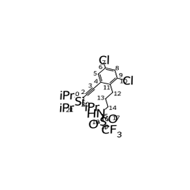 CC(C)[Si](C#Cc1cc(Cl)cc(Cl)c1CCCNS(=O)(=O)C(F)(F)F)(C(C)C)C(C)C